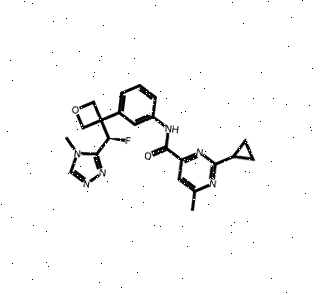 Cc1cc(C(=O)Nc2cccc(C3([C@@H](F)c4nncn4C)COC3)c2)nc(C2CC2)n1